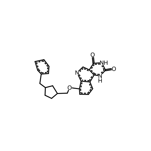 O=c1[nH]c(=O)c2cnc3c(OCC4CCC(Cc5ccccc5)C4)cccc3c2[nH]1